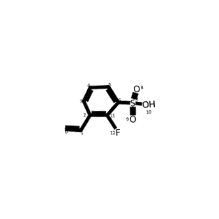 C=Cc1cccc(S(=O)(=O)O)c1F